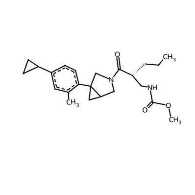 CCC[C@H](CNC(=O)OC)C(=O)N1CC2CC2(c2ccc(C3CC3)cc2C)C1